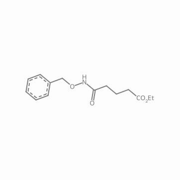 CCOC(=O)CCCC(=O)NOCc1ccccc1